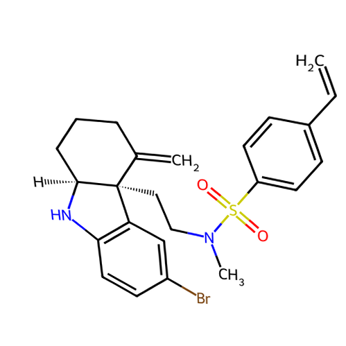 C=Cc1ccc(S(=O)(=O)N(C)CC[C@@]23C(=C)CCC[C@@H]2Nc2ccc(Br)cc23)cc1